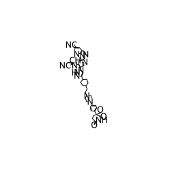 C[C@H](C#N)Nc1cc(-n2ncc3cc(C#N)cnc32)ncc1-n1cc(C2CCC(CCN3CCN(c4ccc5c(c4)OCC54CCC(=O)NC4=O)CC3)CC2)nn1